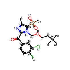 Cc1nc(C(=O)c2ccc(F)c(Cl)c2)n(COCC[Si](C)(C)C)c1S(C)(=O)=O